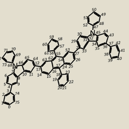 c1ccc(-c2ccc3c(c2)c2cc(-c4ccc5c(-c6ccccc6)c6ccc(-c7ccc8c(c7)c7cc(-c9ccccc9)ccc7n8-c7ccccc7)cc6c(-c6ccccc6)c5c4)ccc2n3-c2ccccc2)cc1